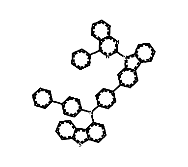 c1ccc(-c2ccc(N(c3ccc(-c4ccc5c6ccccc6n(-c6nc(-c7ccccc7)c7ccccc7n6)c5c4)cc3)c3cccc4sc5ccccc5c34)cc2)cc1